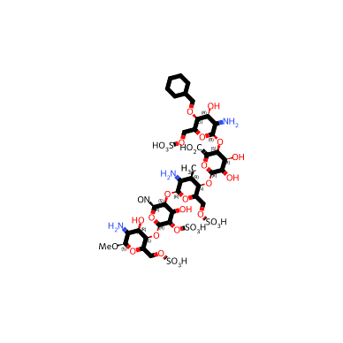 CO[C@H]1OC(COS(=O)(=O)O)[C@@H](O[C@@H]2O[C@@H](N=O)[C@@H](O[C@H]3OC(COS(=O)(=O)O)[C@@H](O[C@@H]4OC(C(=O)O)[C@@H](O[C@H]5OC(COS(=O)(=O)O)[C@@H](OCC6CCCCC6)[C@H](O)C5N)[C@H](O)C4O)[C@H](C)C3N)C(O)C2OS(=O)(=O)O)[C@H](O)C1N